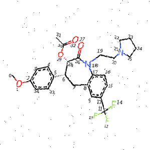 COc1ccc([C@H]2Cc3cc(C(F)(F)F)ccc3N(CCN3CCCC3)C(=O)[C@H]2OC(C)=O)cc1